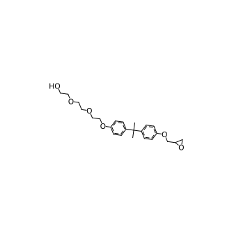 CC(C)(c1ccc(OCCOCCOCCO)cc1)c1ccc(OCC2CO2)cc1